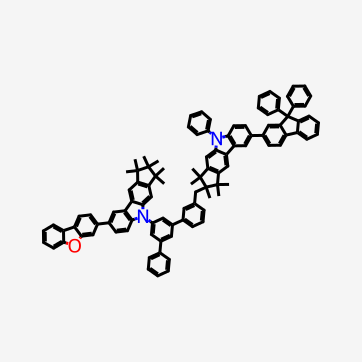 CC1(C)c2cc3c4cc(-c5ccc6c(c5)oc5ccccc56)ccc4n(-c4cc(-c5ccccc5)cc(-c5cccc(CC6(C)C(C)(C)c7cc8c9cc(-c%10ccc%11c(c%10)C(c%10ccccc%10)(c%10ccccc%10)c%10ccccc%10-%11)ccc9n(-c9ccccc9)c8cc7C6(C)C)c5)c4)c3cc2C(C)(C)C1(C)C